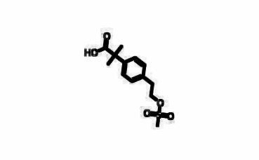 CC(C)(C(=O)O)c1ccc(CCOS(C)(=O)=O)cc1